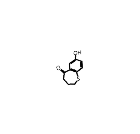 O=C1CCCSc2ccc(O)cc21